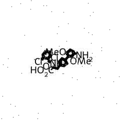 COc1ccc(N)c(OC)c1-c1ccc(C[C@H](NC(=O)c2c(Cl)cccc2Cl)C(=O)O)cc1